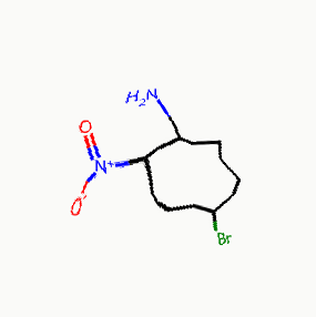 NC1CCC(Br)CC1[N+](=O)[O-]